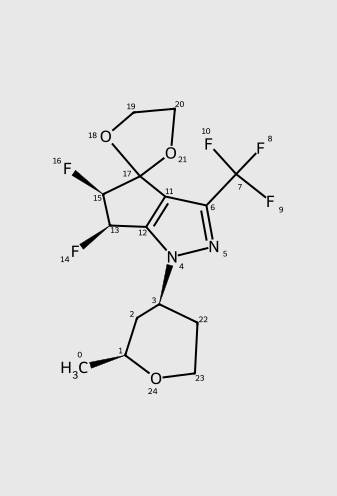 C[C@H]1C[C@@H](n2nc(C(F)(F)F)c3c2[C@@H](F)[C@@H](F)C32OCCO2)CCO1